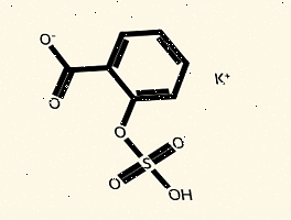 O=C([O-])c1ccccc1OS(=O)(=O)O.[K+]